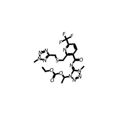 CCOC(=O)OC(C)n1nnn(C)c1=NC(=O)c1ccc(C(F)(F)F)nc1CSCc1nnn(C)n1